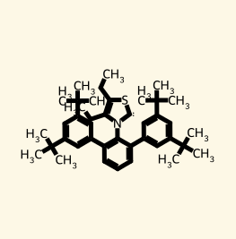 CCC1=C(CC)N(c2c(-c3cc(C(C)(C)C)cc(C(C)(C)C)c3)cccc2-c2cc(C(C)(C)C)cc(C(C)(C)C)c2)[C]S1